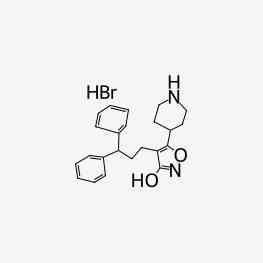 Br.Oc1noc(C2CCNCC2)c1CCC(c1ccccc1)c1ccccc1